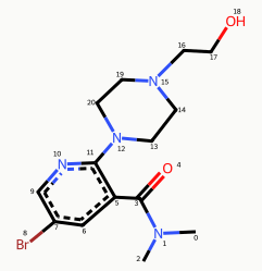 CN(C)C(=O)c1cc(Br)cnc1N1CCN(CCO)CC1